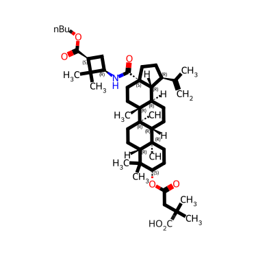 C=C(C)[C@@H]1CC[C@]2(C(=O)N[C@@H]3C[C@H](C(=O)OCCCC)C3(C)C)CC[C@]3(C)[C@H](CC[C@@H]4[C@@]5(C)CC[C@H](OC(=O)CC(C)(C)C(=O)O)C(C)(C)[C@@H]5CC[C@]43C)[C@@H]12